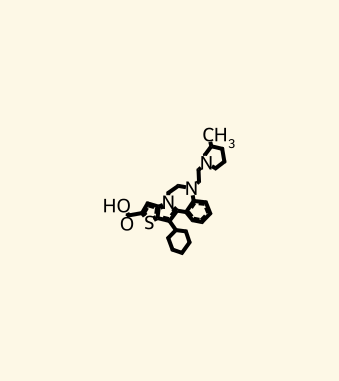 CC1CCCN(CCN2CCn3c(c(C4CCCCC4)c4sc(C(=O)O)cc43)-c3ccccc32)C1